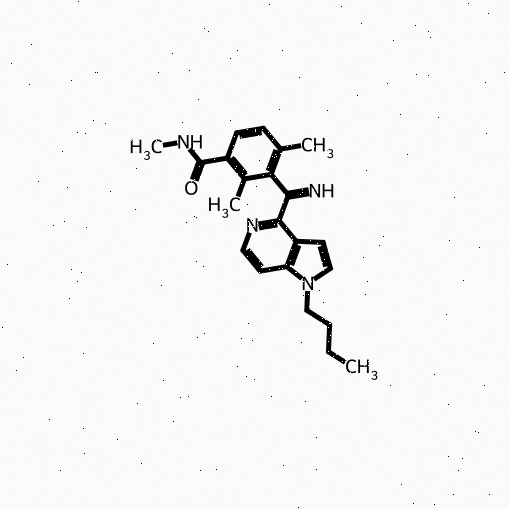 CCCCn1ccc2c(C(=N)c3c(C)ccc(C(=O)NC)c3C)nccc21